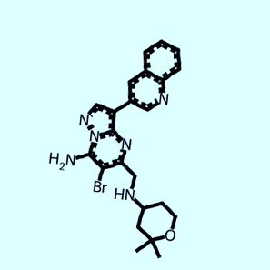 CC1(C)CC(NCc2nc3c(-c4cnc5ccccc5c4)cnn3c(N)c2Br)CCO1